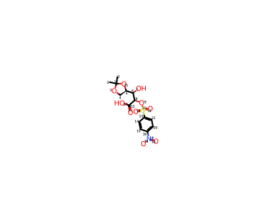 CC1(C)OC[C@H]([C@@H](O)[C@@H](OS(=O)(=O)c2ccc([N+](=O)[O-])cc2)C(=O)O)O1